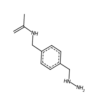 C=C(C)NCc1ccc(CNN)cc1